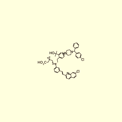 CC(C)(O)c1ccccc1CC[C@@H](SCC1(CC(=O)O)CC1)c1cccc(C=Cc2ccc3ccc(Cl)cc3n2)c1.Clc1ccc(C(c2ccccc2)N2CCNCC2)cc1